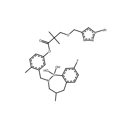 CCCn1cc(COCC(C)(C)C(=O)Oc2ccc(C)c(CN3CC(C)Cc4ccc(F)cc4S3(O)O)c2)nn1